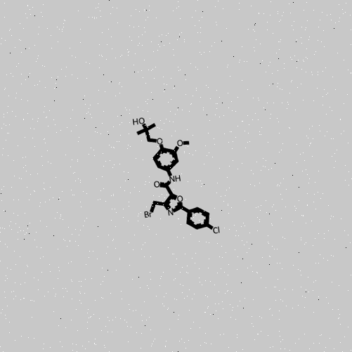 COc1cc(NC(=O)c2oc(-c3ccc(Cl)cc3)nc2CBr)ccc1OCC(C)(C)O